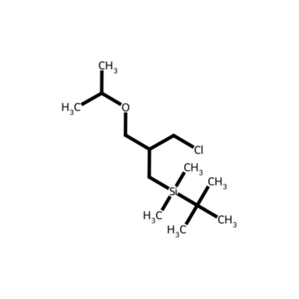 CC(C)OCC(CCl)C[Si](C)(C)C(C)(C)C